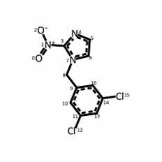 O=[N+]([O-])c1nccn1Cc1cc(Cl)cc(Cl)c1